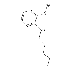 CCCCCNc1ccccc1SS